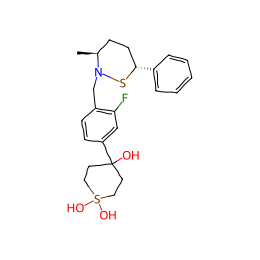 C[C@H]1CC[C@H](c2ccccc2)SN1Cc1ccc(C2(O)CCS(O)(O)CC2)cc1F